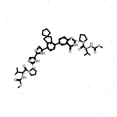 COC(=O)N[C@H](C(=O)N1CCC[C@H]1c1ncc(-c2ncc(-c3ccc(-c4ccc5nc([C@@H]6CCCN6C(=O)[C@@H](NC(=O)OC)C(C)C)[nH]c(=O)c5c4)c4c3CC3(CCCC3)C4)[nH]2)[nH]1)C(C)C